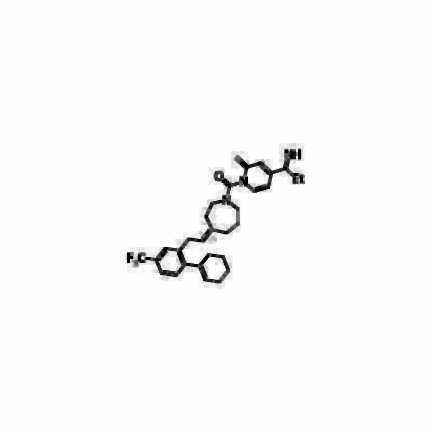 C=C1C=C(C(=N)CC)C=CN1C(=O)N1CCC/C(=C/Cc2cc(C(F)(F)F)ccc2C2=CCCCC2)CC1